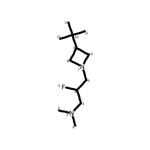 CN(C)CC(F)CN1CC(C(C)(C)C)C1